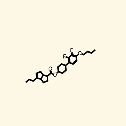 CCCCOc1ccc(C2CCC(OC(=O)C3CCC4C(CCC)=CCC34)CC2)c(F)c1F